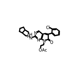 CC(=O)OCCn1c(=O)c(-c2ccccc2Cl)cc2cnc(NN3CC4CCCC4C3)nc21